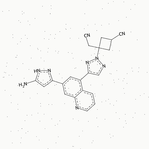 N#CCC1(n2ncc(-c3cc(-c4cc(N)[nH]n4)cc4ncccc34)n2)CC(C#N)C1